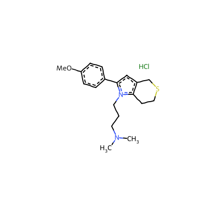 COc1ccc(-c2cc3c(n2CCCN(C)C)CCSC3)cc1.Cl